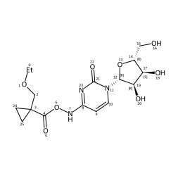 CCOCC1(C(=O)ONc2ccn([C@@H]3O[C@H](CO)[C@@H](O)[C@H]3O)c(=O)n2)CC1